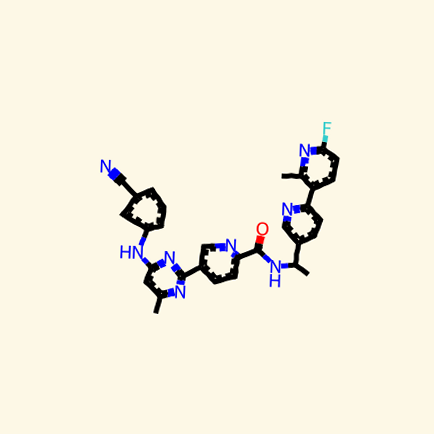 Cc1cc(Nc2cccc(C#N)c2)nc(-c2ccc(C(=O)NC(C)c3ccc(-c4ccc(F)nc4C)nc3)nc2)n1